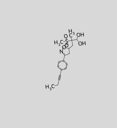 CCC#Cc1ccc(C2=NOC(CC(C)(C(O)O)S(C)(=O)=O)C2)cc1